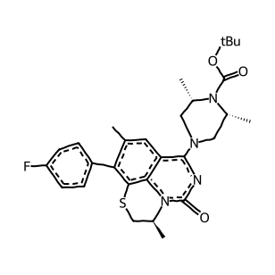 Cc1cc2c(N3C[C@@H](C)N(C(=O)OC(C)(C)C)[C@@H](C)C3)nc(=O)n3c2c(c1-c1ccc(F)cc1)SC[C@@H]3C